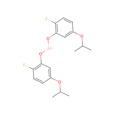 CC(C)Oc1ccc(F)c(OBOc2cc(OC(C)C)ccc2F)c1